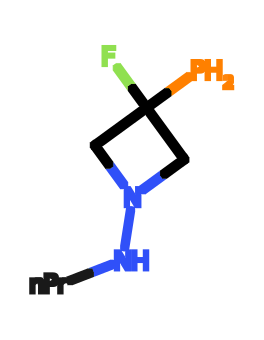 CCCNN1CC(F)(P)C1